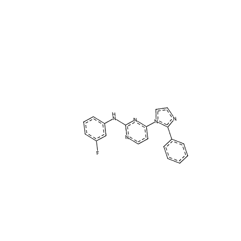 Fc1cccc(Nc2nccc(-n3ccnc3-c3ccccc3)n2)c1